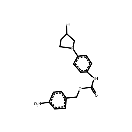 O=C(Nc1ccc(N2CCC(S)C2)cc1)OCc1ccc([N+](=O)[O-])cc1